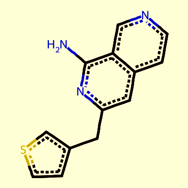 Nc1nc(Cc2ccsc2)cc2ccncc12